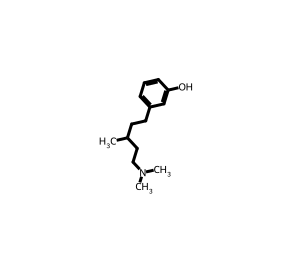 CC(CCc1cccc(O)c1)CCN(C)C